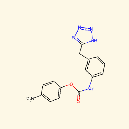 O=C(Nc1cccc(Cc2nnn[nH]2)c1)Oc1ccc([N+](=O)[O-])cc1